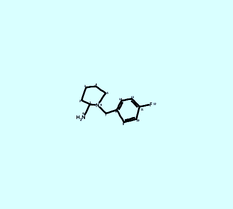 NC1CCCCN1Cc1ccc(F)cc1